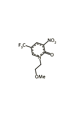 COCCn1cc(C(F)(F)F)cc([N+](=O)[O-])c1=O